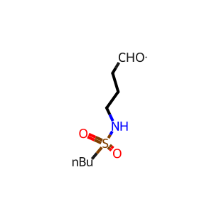 CCCCS(=O)(=O)NCCC[C]=O